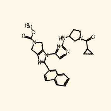 CC(C)(C)OC(=O)N1Cc2nc(-c3ccc4ccccc4c3)n(-c3ccnc(N[C@H]4CCN(C(=O)C5CC5)C4)n3)c2C1